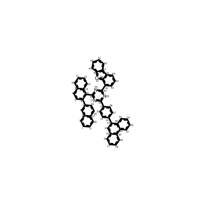 c1ccc2cc(-c3ccc4ccccc4c3-c3nc(-c4ccc(-c5cc6ccccc6c6ccccc56)cc4)nc(-c4cccc5c4oc4ccccc45)n3)ccc2c1